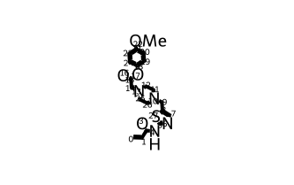 C=CC(=O)Nc1ncc(CN2CCN(CC(=O)Oc3ccc(OC)cc3)CC2)s1